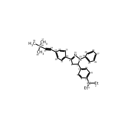 CCN(CC)c1ccc(C2CC(c3ccc(C#C[Si](C)(C)C)cc3)=NN2c2ccccc2)cc1